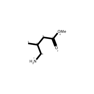 COC(=O)CC(C)CN